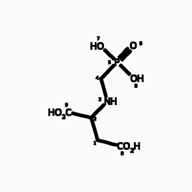 O=C(O)CC(NCP(=O)(O)O)C(=O)O